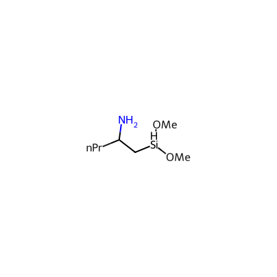 CCCC(N)C[SiH](OC)OC